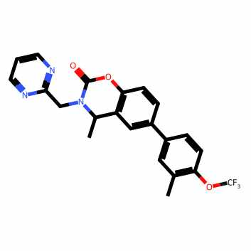 Cc1cc(-c2ccc3c(c2)C(C)N(Cc2ncccn2)C(=O)O3)ccc1OC(F)(F)F